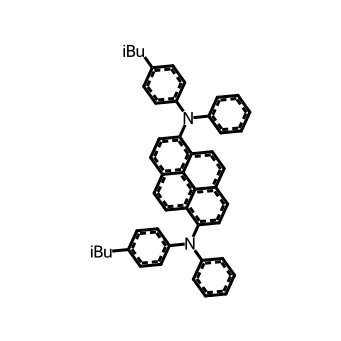 CCC(C)c1ccc(N(c2ccccc2)c2ccc3ccc4c(N(c5ccccc5)c5ccc(C(C)CC)cc5)ccc5ccc2c3c54)cc1